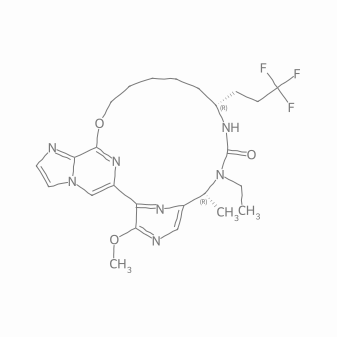 CCN1C(=O)N[C@@H](CCC(F)(F)F)CCCCCOc2nc(cn3ccnc23)-c2nc(cnc2OC)[C@H]1C